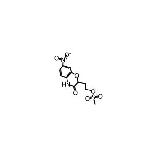 CS(=O)(=O)OCCC1Oc2cc([N+](=O)[O-])ccc2NC1=O